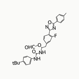 Cc1ccc(-c2nc(-c3ccc(CC(NC(=O)Nc4ccc(C(C)(C)C)cc4)OC=O)cc3F)no2)cc1